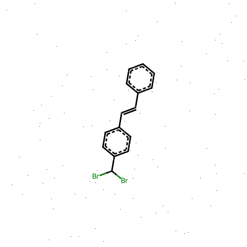 BrC(Br)c1ccc(C=Cc2ccccc2)cc1